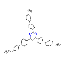 C=Cc1ccc(-c2ccc(-c3cc(-c4ccc(-c5ccc(C(C)(C)C)cc5)cc4)nc(-c4ccc(-c5ccc(C(C)(C)C)cc5)cc4)n3)cc2)cc1